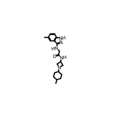 Cc1ccc2[nH]nc(NCC(=O)NC3CN(C4CCC(C)CC4)C3)c2c1